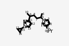 CC(C)c1ccn(C(C)CCC(C)c2ccn(C3CC3)n2)n1